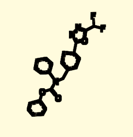 O=C(Oc1ccccc1)N(Cc1ccc(-c2nnc(C(F)F)o2)cc1)c1ccccc1